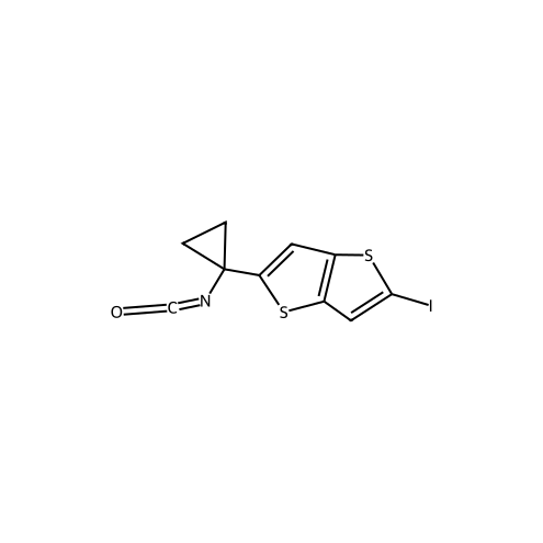 O=C=NC1(c2cc3sc(I)cc3s2)CC1